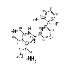 NCC(CCl)Oc1ccncc1NC(=O)c1cccc(-c2c(F)cccc2F)n1